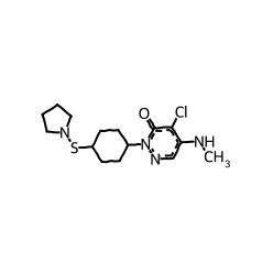 CNc1cnn(C2CCC(SN3CCCC3)CC2)c(=O)c1Cl